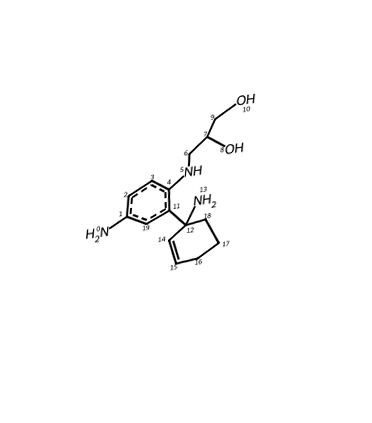 Nc1ccc(NCC(O)CO)c(C2(N)C=CCCC2)c1